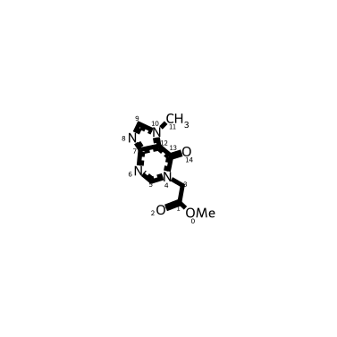 COC(=O)Cn1cnc2ncn(C)c2c1=O